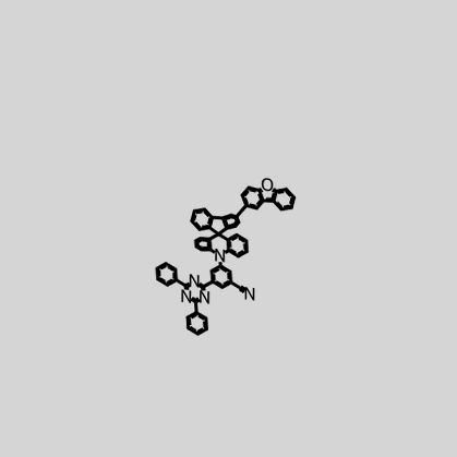 N#Cc1cc(-c2nc(-c3ccccc3)nc(-c3ccccc3)n2)cc(N2c3ccccc3C3(c4ccccc4-c4cc(-c5ccc6oc7ccccc7c6c5)ccc43)c3ccccc32)c1